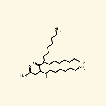 NCCCCCCNC(CC(N)=O)C(=O)N(CCCCCCN)CCCCCCN